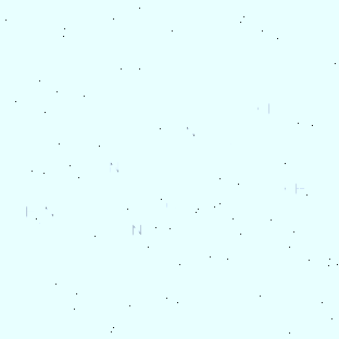 CCC(C)Nc1nc(N)no1